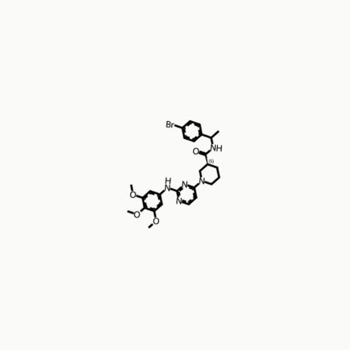 COc1cc(Nc2nccc(N3CCC[C@H](C(=O)NC(C)c4ccc(Br)cc4)C3)n2)cc(OC)c1OC